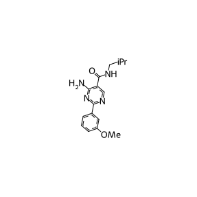 COc1cccc(-c2ncc(C(=O)NCC(C)C)c(N)n2)c1